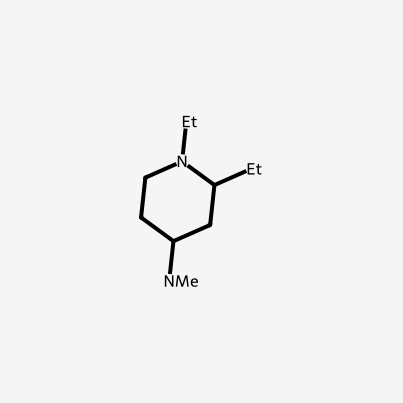 CCC1CC(NC)CCN1CC